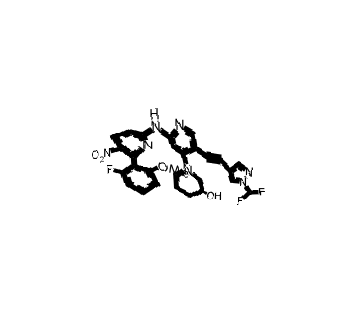 COc1cccc(F)c1-c1nc(Nc2cc(N3CCC[C@H](O)C3)c(C#Cc3cnn(C(F)F)c3)cn2)ccc1[N+](=O)[O-]